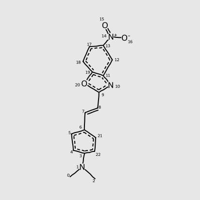 CN(C)c1ccc(C=Cc2nc3cc([N+](=O)[O-])ccc3o2)cc1